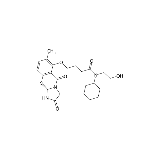 Cc1ccc2nc3n(c(=O)c2c1OCCCC(=O)N(CCO)C1CCCCC1)CC(=O)N3